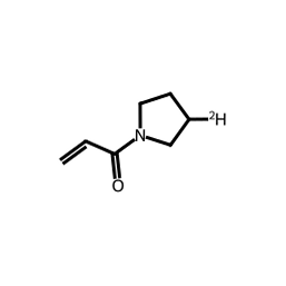 [2H]C1CCN(C(=O)C=C)C1